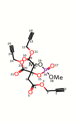 C#CCOC(=O)CC(CC(=O)OCC#C)(OP(=O)(OC)OC)C(=O)OCC#C